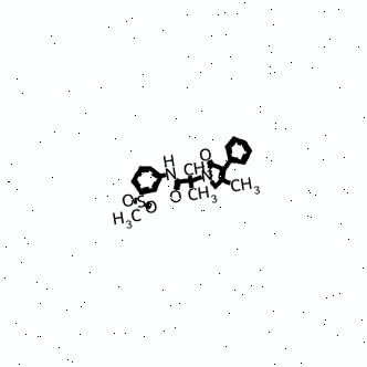 CC1=C(c2ccccc2)C(=O)N(C(C)(C)C(=O)Nc2cccc(S(C)(=O)=O)c2)C1